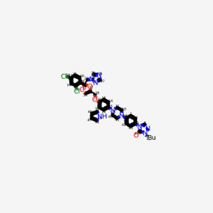 CCC(C)n1ncn(-c2ccc(N3CCN(c4ccc(OC[C@H]5CO[C@](Cn6cncn6)(c6ccc(Cl)cc6Cl)O5)cc4)CC3)cc2)c1=O.c1cc[nH]c1